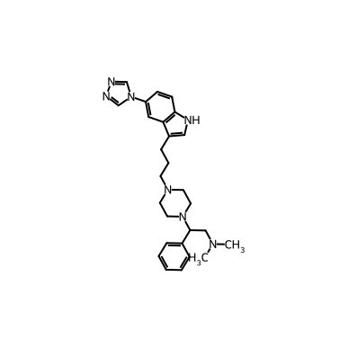 CN(C)CC(c1ccccc1)N1CCN(CCCc2c[nH]c3ccc(-n4cnnc4)cc23)CC1